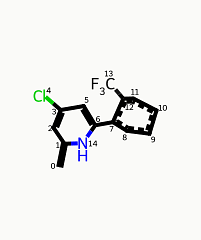 C=C1C=C(Cl)C=C(c2ccccc2C(F)(F)F)N1